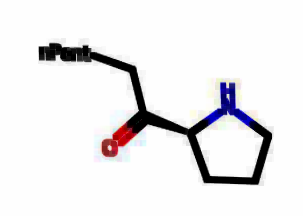 CCCCCCC(=O)[C@@H]1CCCN1